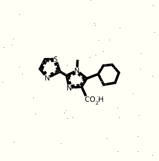 Cn1c(-c2nccs2)nc(C(=O)O)c1C1CCCCC1